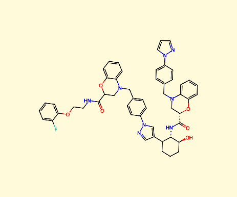 O=C(NCCOc1ccccc1F)C1CN(Cc2ccc(-n3cc(C4CCC[C@H](O)[C@H]4NC(=O)[C@@H]4CN(Cc5ccc(-n6cccn6)cc5)c5ccccc5O4)cn3)cc2)c2ccccc2O1